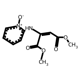 COC(=O)C=C(Nc1cccc[n+]1[O-])C(=O)OC